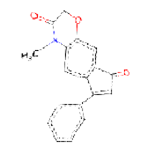 CN1C(=O)COc2cc3c(cc21)C(c1ccccc1)=CC3=O